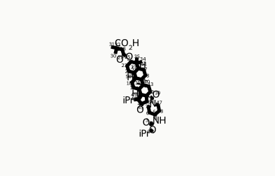 CC(C)OC(=O)NC1CCN(C(=O)[C@@]23CC[C@]4(C)[C@H](CC[C@@H]5[C@@]6(C)CC[C@H](OC(=O)CC(C)(C)C(=O)O)C(C)(C)[C@@H]6CC[C@]54C)C2=C(C(C)C)C(=O)C3)CC1